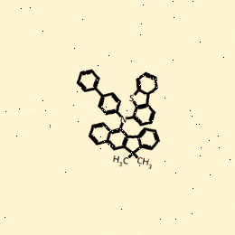 CC1(C)c2ccccc2-c2c1cc1ccccc1c2N(c1ccc(-c2ccccc2)cc1)c1cccc2c1SC1=CC=CCC12